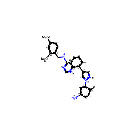 COc1ccc(CNc2ncnc3c(-c4cnn(-c5cc(N)ccc5C)c4)cccc23)c(OC)c1